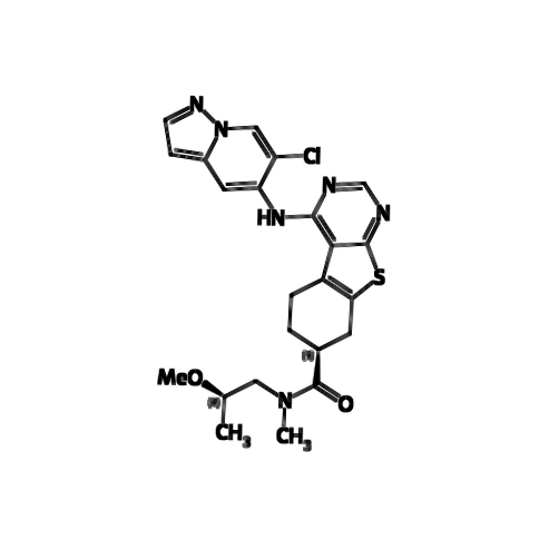 CO[C@H](C)CN(C)C(=O)[C@H]1CCc2c(sc3ncnc(Nc4cc5ccnn5cc4Cl)c23)C1